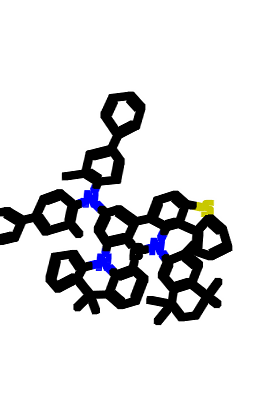 Cc1cc2c(cc1N1B3c4cccc5c4N(c4ccccc4C5(C)C)c4cc(N(c5ccc(-c6ccccc6)cc5C)c5ccc(-c6ccccc6)cc5C)cc(c43)-c3ccc4sc5ccccc5c4c31)C(C)(C)CCC2(C)C